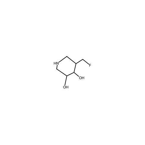 OC1CNCC(CF)C1O